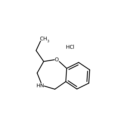 CCC1CNCc2ccccc2O1.Cl